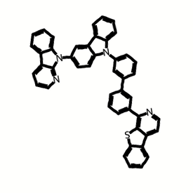 c1cc(-c2cccc(-n3c4ccccc4c4cc(-n5c6ccccc6c6cccnc65)ccc43)c2)cc(-c2nccc3c2sc2ccccc23)c1